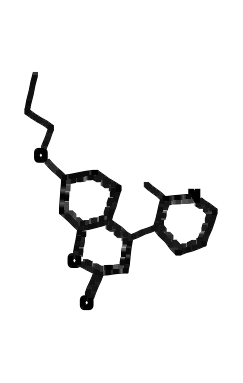 CCCOc1ccc2c(-c3cccnc3C)cc(=O)oc2c1